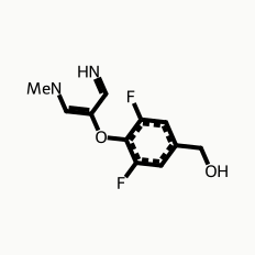 CN/C=C(\C=N)Oc1c(F)cc(CO)cc1F